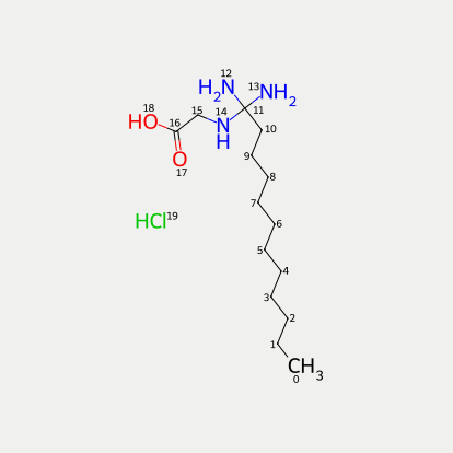 CCCCCCCCCCCC(N)(N)NCC(=O)O.Cl